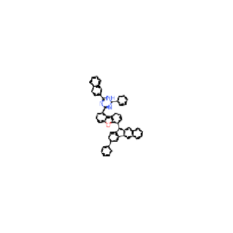 c1ccc(-c2ccc3c(c2)-c2cc4ccccc4cc2C3c2cccc3c2oc2cccc(C4=NC(c5ccccc5)NC(c5ccc6ccccc6c5)=N4)c23)cc1